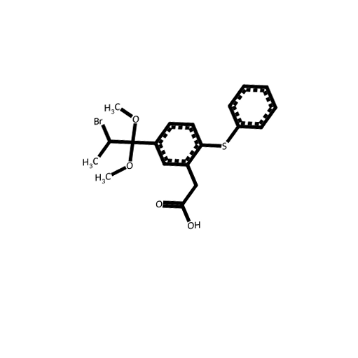 COC(OC)(c1ccc(Sc2ccccc2)c(CC(=O)O)c1)C(C)Br